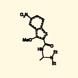 CCN(CC)C(C)NC(=O)c1sc2ccc([N+](=O)[O-])cc2c1OC